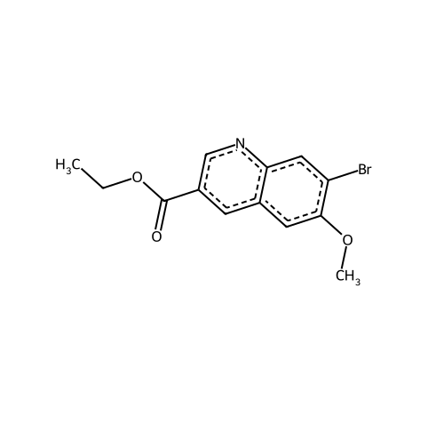 CCOC(=O)c1cnc2cc(Br)c(OC)cc2c1